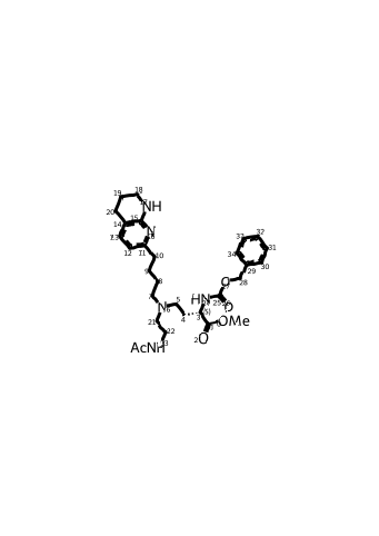 COC(=O)[C@H](CCN(CCCCc1ccc2c(n1)NCCC2)CCNC(C)=O)NC(=O)OCc1ccccc1